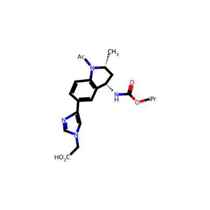 CC(=O)N1c2ccc(-c3cn(CC(=O)O)cn3)cc2[C@@H](NC(=O)OC(C)C)C[C@H]1C